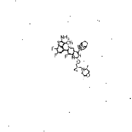 C[C@@H]1CN(CC2(COc3nc(N4CC5CCC(C4)N5)c4cnc(-c5cc(F)c(F)c6sc(N)c(C#N)c56)c(F)c4n3)CC2)[C@@H](C)CO1